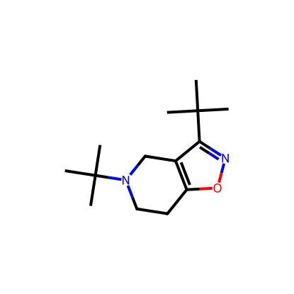 CC(C)(C)c1noc2c1CN(C(C)(C)C)CC2